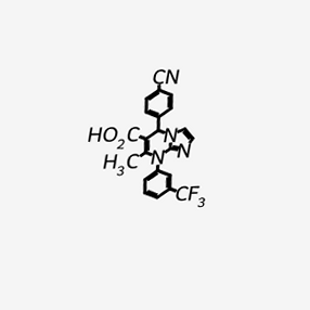 CC1=C(C(=O)O)C(c2ccc(C#N)cc2)n2ccnc2N1c1cccc(C(F)(F)F)c1